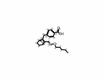 CCCCCO/N=C/C1C2CCC(O2)C1Cc1ccc(C(=O)O)cc1